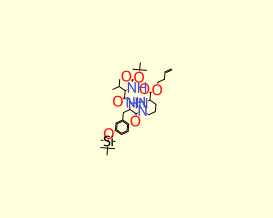 C=CCCOC(=O)C1CCCN(C(=O)C(Cc2cccc(O[Si](C)(C)C(C)(C)C)c2)NC(=O)C(NC(=O)OC(C)(C)C)C(C)C)N1